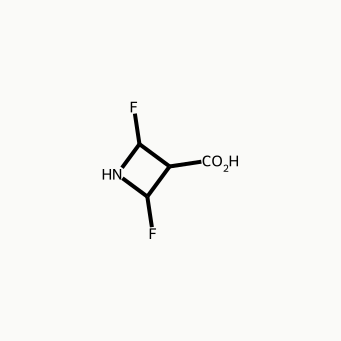 O=C(O)C1C(F)NC1F